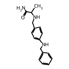 CC(NCc1ccc(NCc2ccccc2)cc1)C(N)=O